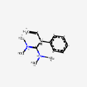 C=C[SiH](c1ccccc1)C(N(CCCC)CCCC)N(CCCC)CCCC